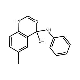 OC1(Nc2ccccc2)N=CNc2ccc(I)cc21